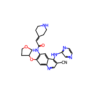 N#Cc1cnc2cc(OC3CCOC3)c(NC(=O)C=C3CCNCC3)cc2c1Nc1cnccn1